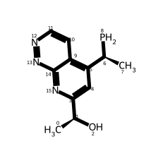 C[C@H](O)c1cc([C@H](C)P)c2ccnnc2n1